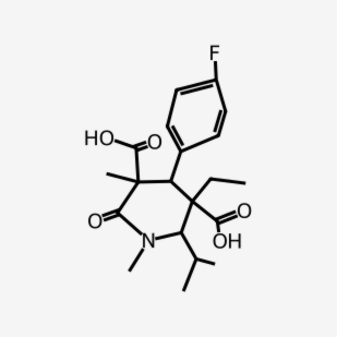 CCC1(C(=O)O)C(C(C)C)N(C)C(=O)C(C)(C(=O)O)C1c1ccc(F)cc1